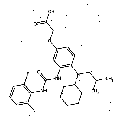 CC(C)CN(c1ccc(OCC(=O)O)cc1NC(=O)Nc1c(F)cccc1F)C1CCCCC1